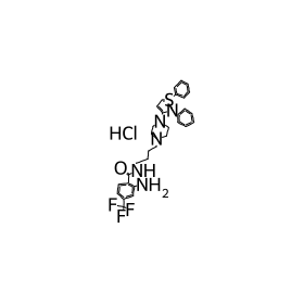 Cl.Nc1cc(C(F)(F)F)ccc1C(=O)NCCCCN1CCN(C2=CC=S(c3ccccc3)N2c2ccccc2)CC1